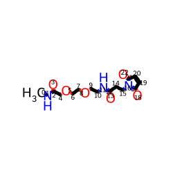 CNC(=O)COCCOCCNC(=O)CCN1C(=O)C=CC1=O